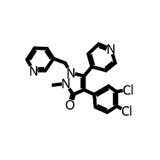 Cn1c(=O)c(-c2ccc(Cl)c(Cl)c2)c(-c2ccncc2)n1Cc1cccnc1